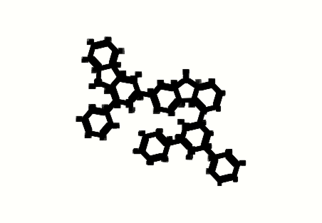 c1ccc(-c2cc(-c3cccc4sc5cc(-c6nc(-c7ccccc7)c7oc8ccccc8c7n6)ccc5c34)nc(-c3ccccc3)n2)cc1